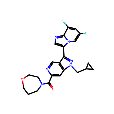 O=C(c1cc2c(cn1)c(-c1cnc3c(F)cc(F)cn13)nn2CC1CC1)N1CCCOCC1